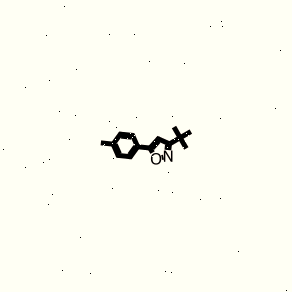 Cc1ccc(-c2cc(C(C)(C)C)no2)cc1